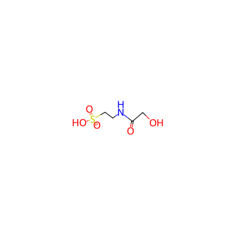 O=C(CO)NCCS(=O)(=O)O